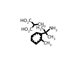 CC(C(=O)O)C(=O)O.Cc1ccccc1C(C)(C)N